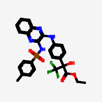 CCOC(=O)C(O)(c1ccc(Nc2nc3ccccc3nc2NS(=O)(=O)c2ccc(C)cc2)cc1)C(F)(F)F